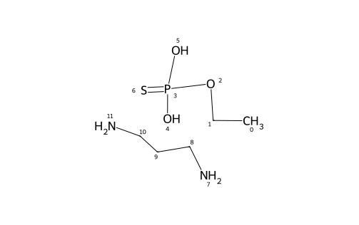 CCOP(O)(O)=S.NCCCN